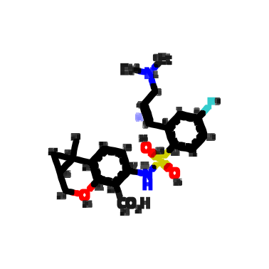 CCN(CC)C/C=C\c1cc(F)ccc1S(=O)(=O)Nc1ccc2c(c1C(=O)O)OCC1CC21C